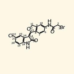 O=C(CBr)Nc1ccc2c(c1)CO/C2=C1/C(=O)Nc2ccc(Cl)cc21